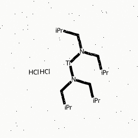 CC(C)C[N](CC(C)C)[Ti][N](CC(C)C)CC(C)C.Cl.Cl